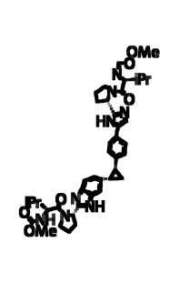 COO/C=N\[C@H](C(=O)N1CCC[C@H]1c1ncc(-c2ccc([C@H]3C[C@@H]3c3ccc4nc([C@@H]5CCCN5C(=O)[C@@H](NC(=O)OC)C(C)C)[nH]c4c3)cc2)[nH]1)C(C)C